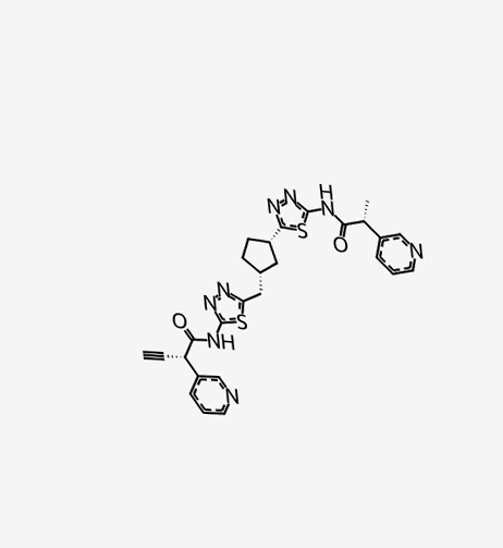 C#C[C@H](C(=O)Nc1nnc(C[C@@H]2CC[C@H](c3nnc(NC(=O)[C@H](C)c4cccnc4)s3)C2)s1)c1cccnc1